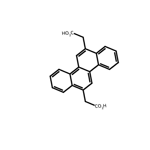 O=C(O)Cc1cc2c3ccccc3c(CC(=O)O)cc2c2ccccc12